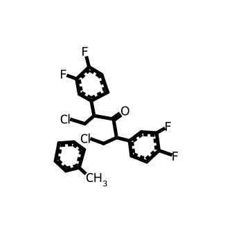 Cc1ccccc1.O=C(C(CCl)c1ccc(F)c(F)c1)C(CCl)c1ccc(F)c(F)c1